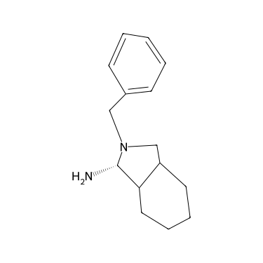 N[C@H]1C2CCCCC2CN1Cc1ccccc1